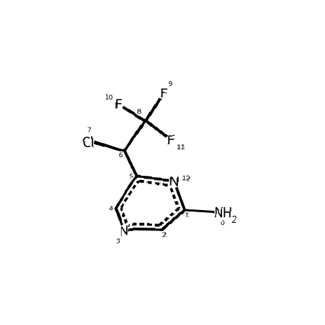 Nc1cncc(C(Cl)C(F)(F)F)n1